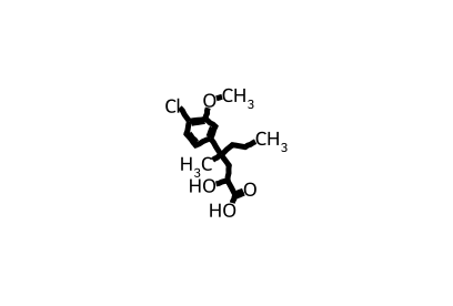 CCCC(C)(CC(O)C(=O)O)c1ccc(Cl)c(OC)c1